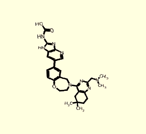 CN(C)Cc1nc2c(c(N3CCOc4ccc(-c5cnc6nc(NC(=O)O)[nH]c6c5)cc4C3)n1)CC(C)(C)CC2